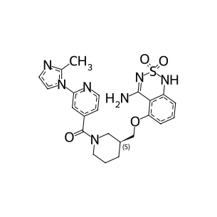 Cc1nccn1-c1cc(C(=O)N2CCC[C@H](COc3cccc4c3C(N)=NS(=O)(=O)N4)C2)ccn1